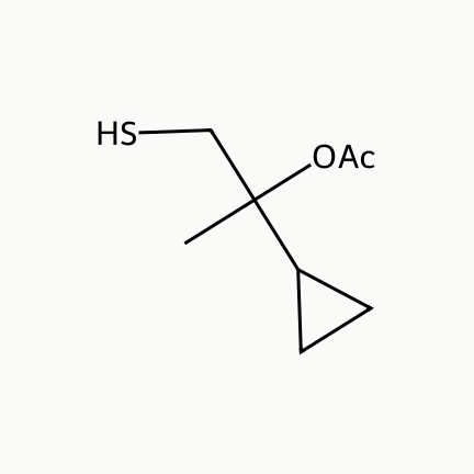 CC(=O)OC(C)(CS)C1CC1